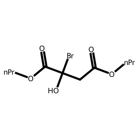 CCCOC(=O)CC(O)(Br)C(=O)OCCC